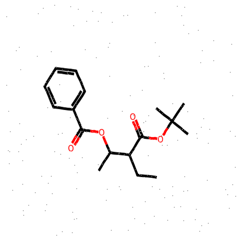 CCC(C(=O)OC(C)(C)C)C(C)OC(=O)c1ccccc1